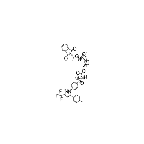 Cc1ccc(-c2cc(C(F)(F)F)nn2-c2ccc(S(=O)(=O)NC(=O)OC[C@@H]3CCN3[N+]([O-])=NOC(C)N3C(=O)c4ccccc4C3=O)cc2)cc1